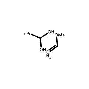 C=COC.CCCC(O)O